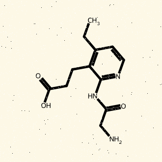 CCc1ccnc(NC(=O)CN)c1CCC(=O)O